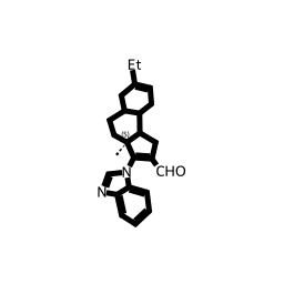 CCC1=CCC2C(CC[C@]3(C)C(n4cnc5ccccc54)=C(C=O)CC23)C1